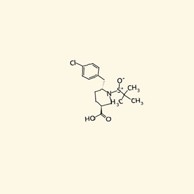 CC(C)(C)[S+]([O-])N1C[C@@H](C(=O)O)CC[C@@H]1Cc1ccc(Cl)cc1